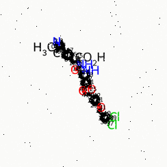 Cc1nccc(-c2ccc(CC(NC(=O)[C@@H]3Cc4cc5c(cc4CN3)O[C@@H](c3ccc(OCc4ccc(Cl)c(Cl)c4)cc3)CO5)C(=O)O)cc2)c1C